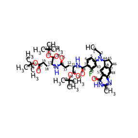 C#CCN(c1ccc(C(=O)N[C@@H](CCC(=O)N[C@H](CCC(=O)OC(C)(C)C)C(=O)OC(C)(C)C)C(=O)OC(C)(C)C)c(F)c1)C1CCc2cc3nc(C)[nH]c(=O)c3cc21